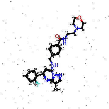 Bc1cnn2c(NCc3ccc(C(=O)NCCN4CCOCC4)cc3)cc(-c3ccccc3F)nc12